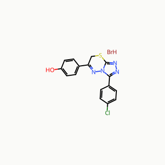 Br.Oc1ccc(C2=Nn3c(nnc3-c3ccc(Cl)cc3)SC2)cc1